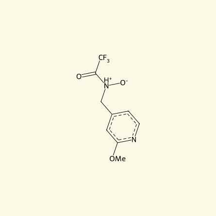 COc1cc(C[NH+]([O-])C(=O)C(F)(F)F)ccn1